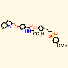 COc1ccc(S(=O)(=O)CCCc2ccc(OC(NC(=O)c3ccc(OCc4ccc5ccccc5n4)cc3)C(=O)O)cc2)cc1